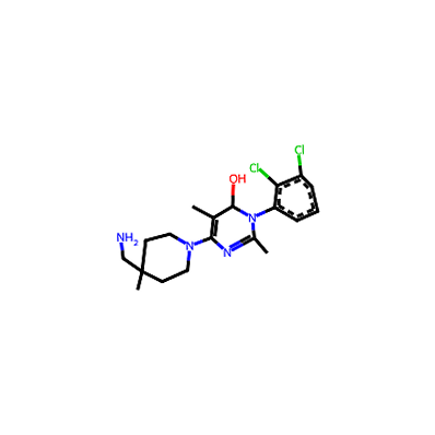 CC1=NC(N2CCC(C)(CN)CC2)=C(C)C(O)N1c1cccc(Cl)c1Cl